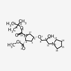 COC(=O)[C@H]1C[C@@H](OCC(O)CN2CCCC2)CN1C(=O)OC(C)(C)C